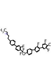 C/C=C/CCc1ccc(-c2ccc(C(F)(F)Oc3ccc(-c4ccc(-c5cc(F)c(Cl)c(F)c5)c(F)c4)cc3)c(F)c2)cc1